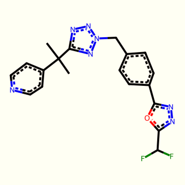 CC(C)(c1ccncc1)c1nnn(Cc2ccc(-c3nnc(C(F)F)o3)cc2)n1